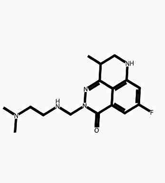 CC1CNc2cc(F)cc3c(=O)n(CNCCN(C)C)nc1c23